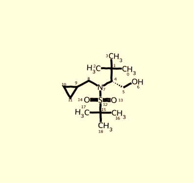 CC(C)(C)[C@H](CO)N(CC1CC1)S(=O)(=O)C(C)(C)C